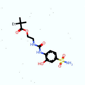 CCC(C)(C)C(=O)OCCNC(=O)Nc1ccc(S(N)(=O)=O)cc1O